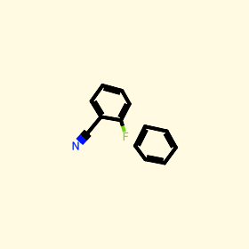 N#Cc1ccccc1F.c1ccccc1